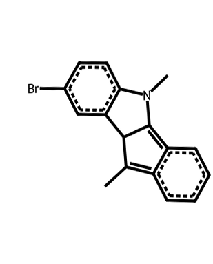 CC1=c2ccccc2=C2C1c1cc(Br)ccc1N2C